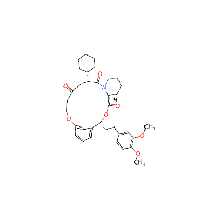 COc1ccc(CC[C@H]2OC(=O)[C@@H]3CCCCN3C(=O)[C@@H](C3CCCCC3)CC(=O)CCOc3cccc2c3)cc1OC